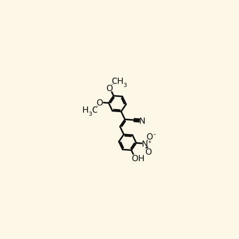 COc1ccc(C(C#N)=Cc2ccc(O)c([N+](=O)[O-])c2)cc1OC